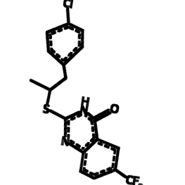 CC(Cc1ccc(Cl)cc1)Sc1nc2ccc(C(F)(F)F)cc2c(=O)[nH]1